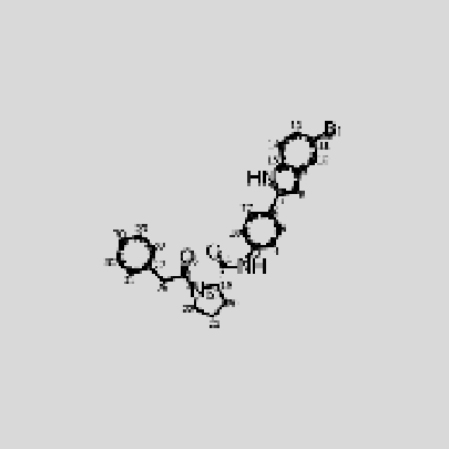 O=C(Nc1ccc(-c2cc3cc(Br)ccc3[nH]2)cc1)[C@@H]1CCCN1C(=O)Cc1ccccc1